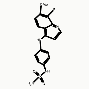 COc1ccc2c(Nc3ccc(NS(N)(=O)=O)cc3)ccnc2c1F